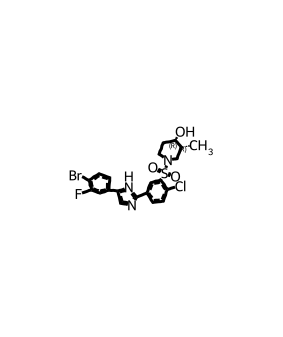 C[C@@H]1CN(S(=O)(=O)c2cc(-c3ncc(-c4ccc(Br)c(F)c4)[nH]3)ccc2Cl)CC[C@H]1O